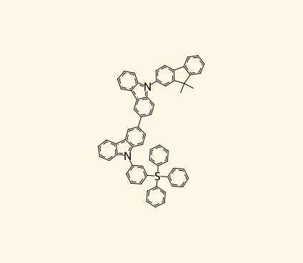 CC1(C)c2ccccc2-c2ccc(-n3c4ccccc4c4cc(-c5ccc6c(c5)c5ccccc5n6-c5cccc(S(c6ccccc6)(c6ccccc6)c6ccccc6)c5)ccc43)cc21